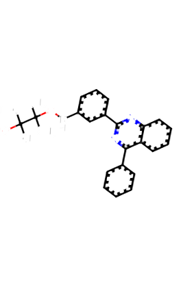 CC(C)(O)C(C)(C)OBc1cccc(-c2nc(-c3ccccc3)c3ccccc3n2)c1